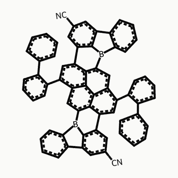 N#Cc1cc2c3c(c1)-c1cc(-c4ccccc4-c4ccccc4)c4cc5c6c(cc(-c7ccccc7-c7ccccc7)c7cc(c1c4c76)B3c1ccccc1-2)-c1cc(C#N)cc2c1B5c1ccccc1-2